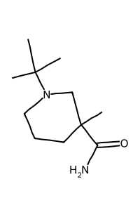 CC1(C(N)=O)CCCN(C(C)(C)C)C1